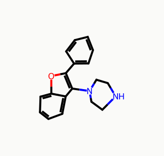 c1ccc(-c2oc3ccccc3c2N2CCNCC2)cc1